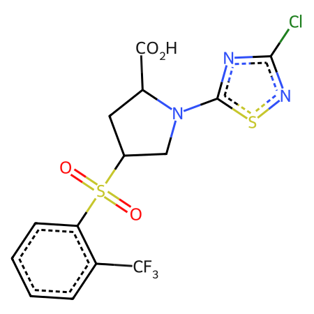 O=C(O)C1CC(S(=O)(=O)c2ccccc2C(F)(F)F)CN1c1nc(Cl)ns1